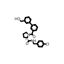 O=C(NCc1ccc(Cl)cc1)[C@@H]1CCCN1C(=O)c1cccc(-c2cccc(CO)c2)c1